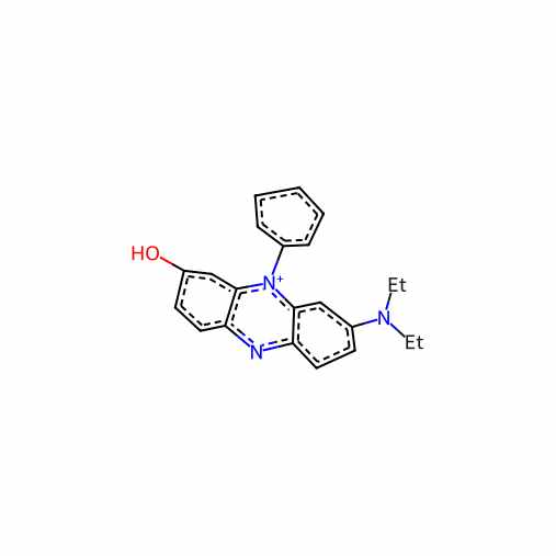 CCN(CC)c1ccc2nc3ccc(O)cc3[n+](-c3ccccc3)c2c1